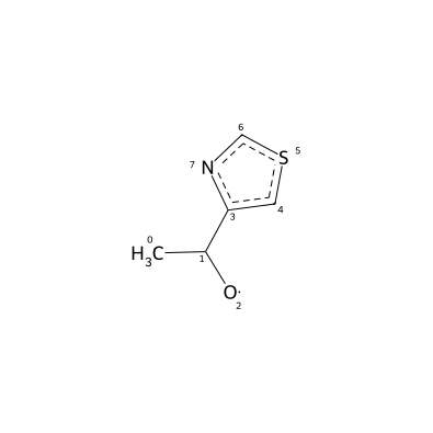 CC([O])c1cscn1